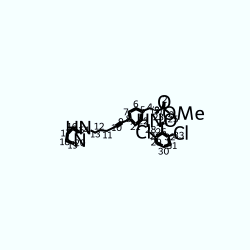 COC(=O)[C@H](Cc1ccc(C#CCCCNc2ccccn2)cc1)NC(=O)c1c(Cl)cccc1Cl